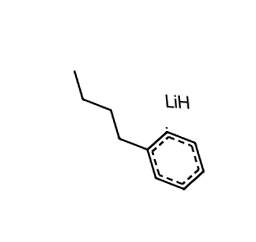 CCCCc1[c]cccc1.[LiH]